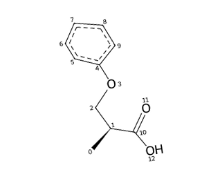 C[C@@H](COc1ccccc1)C(=O)O